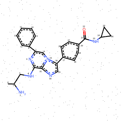 CC(N)CNc1nc(-c2ccccc2)cn2c(-c3ccc(C(=O)NC4CC4)cc3)cnc12